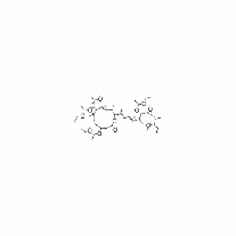 CCOC(C)OC1CCC(C)(OC(C)OCC)C(OC(C)=O)/C=C/C(C)C(/C(C)=C/C=C/C(C)C(OC(C)OCC)C2OC2C(C)C(CC)OC)OC(=O)C1